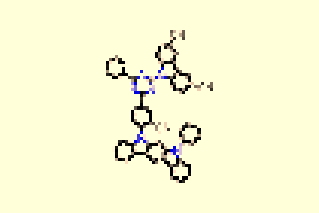 N#Cc1ccc2c(c1)c1cc(C#N)ccc1n2-c1nc(-c2ccccc2)nc(-c2ccc(-n3c4ccccc4c4cc5c6ccccc6n(-c6ccccc6)c5cc43)c(C#N)c2)n1